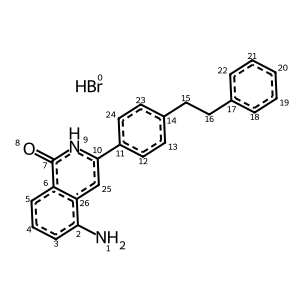 Br.Nc1cccc2c(=O)[nH]c(-c3ccc(CCc4ccccc4)cc3)cc12